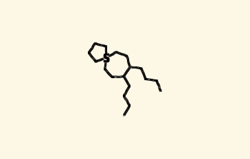 CCCCC1CCS2(CCCC2)CCC1CCCC